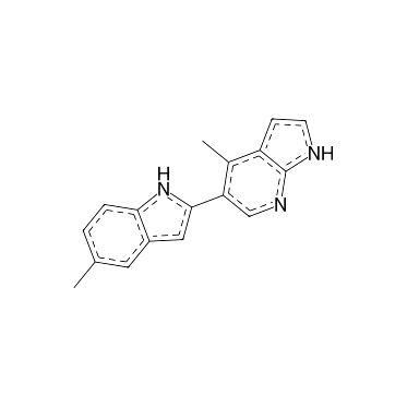 Cc1ccc2[nH]c(-c3cnc4[nH]ccc4c3C)cc2c1